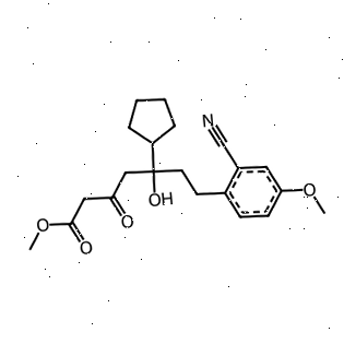 COC(=O)CC(=O)CC(O)(CCc1ccc(OC)cc1C#N)C1CCCC1